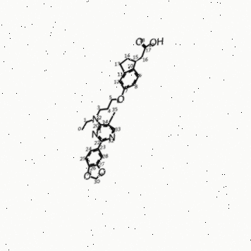 CCN(CCCOc1ccc2c(c1)CC[C@H]2CC(=O)O)c1nc(-c2ccc3c(c2)OCO3)ncc1C